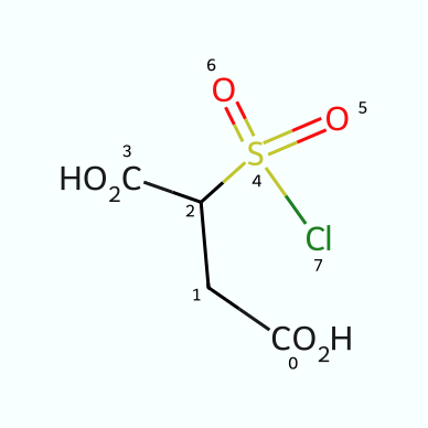 O=C(O)CC(C(=O)O)S(=O)(=O)Cl